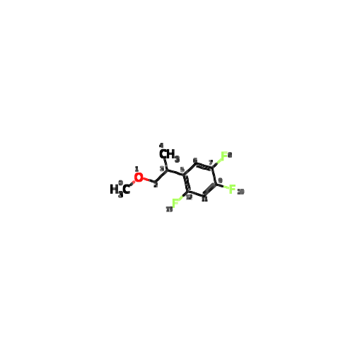 COCC(C)c1cc(F)c(F)cc1F